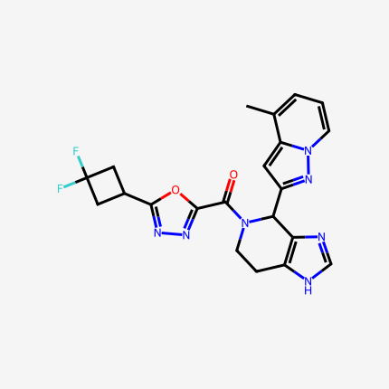 Cc1cccn2nc(C3c4nc[nH]c4CCN3C(=O)c3nnc(C4CC(F)(F)C4)o3)cc12